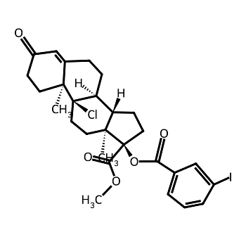 COC(=O)[C@@]1(OC(=O)c2cccc(I)c2)CC[C@H]2[C@@H]3CCC4=CC(=O)CC[C@]4(C)[C@@]3(Cl)CC[C@@]21C